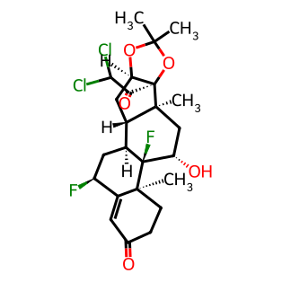 CC1(C)O[C@@H]2C[C@H]3[C@@H]4C[C@H](F)C5=CC(=O)CC[C@]5(C)[C@@]4(F)[C@@H](O)C[C@]3(C)[C@]2(C(=O)C(Cl)Cl)O1